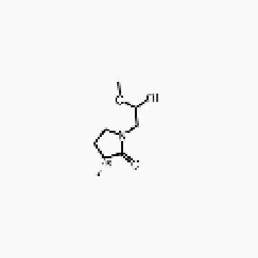 COC(O)CN1CC[C@@H](C)C1=O